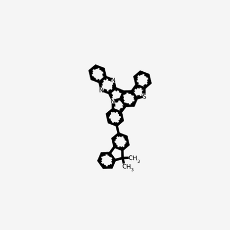 CC1(C)c2ccccc2-c2cc(-c3ccc4c(c3)c3cc5sc6ccccc6c5c5c6nc7ccccc7nc6n4c35)ccc21